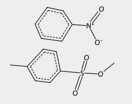 COS(=O)(=O)c1ccc(C)cc1.O=[N+]([O-])c1ccccc1